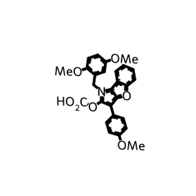 COc1ccc(-c2c(OC(=O)O)n(Cc3cc(OC)ccc3OC)c3c2oc2ccccc23)cc1